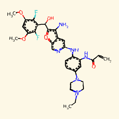 C=CC(=O)Nc1cc(N2CCN(CC)CC2)ccc1Nc1cc2c(N)c(C(O)c3c(F)c(OC)cc(OC)c3F)oc2cn1